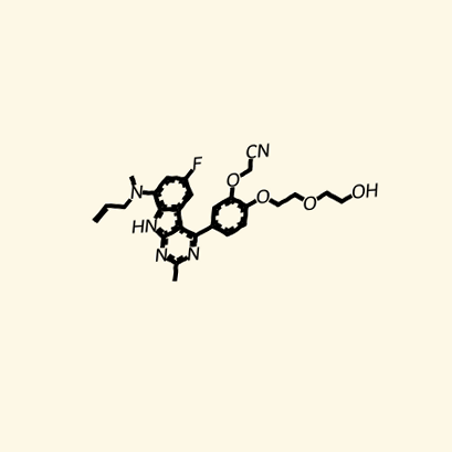 C=CCN(C)c1cc(F)cc2c1[nH]c1nc(C)nc(-c3ccc(OCCOCCO)c(OCC#N)c3)c12